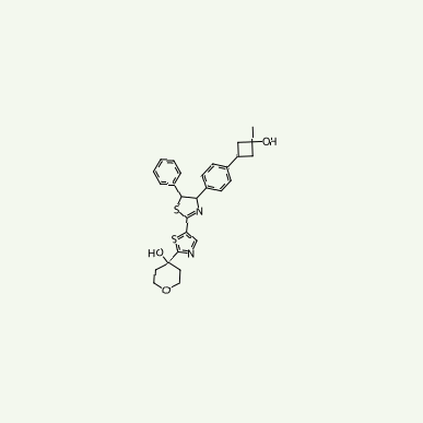 CC1(O)CC(c2ccc(C3N=C(c4cnc(C5(O)CCOCC5)s4)SC3c3ccccc3)cc2)C1